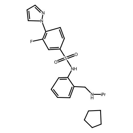 C1CCCC1.CC(C)NCc1ccccc1NS(=O)(=O)c1ccc(-n2cccn2)c(F)c1